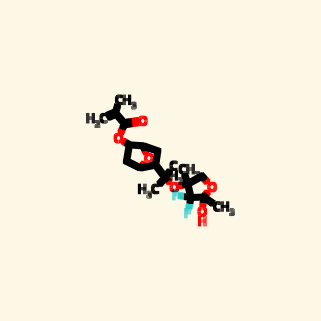 C=C(C)C(=O)OC1CC2OC1CC2C(C)(C)OC1(C)COC(C)(O)C1(F)F